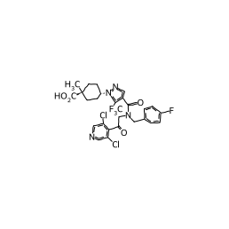 C[C@]1(C(=O)O)CC[C@H](n2ncc(C(=O)N(CC(=O)c3c(Cl)cncc3Cl)Cc3ccc(F)cc3)c2C(F)(F)F)CC1